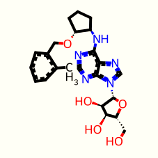 Cc1ccccc1CO[C@@H]1CCC[C@H]1Nc1ncnc2c1ncn2[C@@H]1O[C@H](CO)[C@@H](O)[C@H]1O